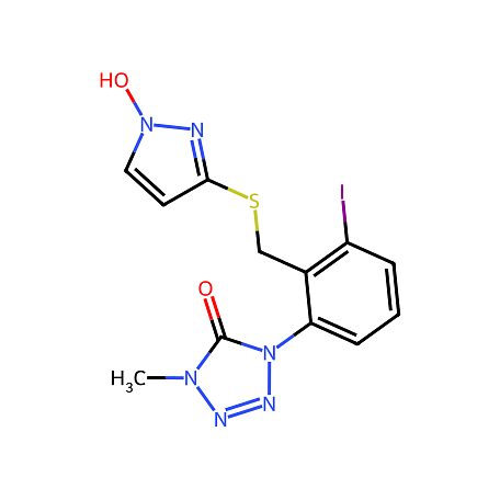 Cn1nnn(-c2cccc(I)c2CSc2ccn(O)n2)c1=O